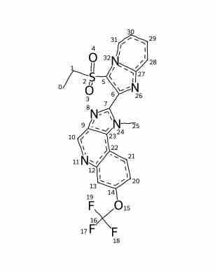 CCS(=O)(=O)c1c(-c2nc3cnc4cc(OC(F)(F)F)ccc4c3n2C)nc2ccccn12